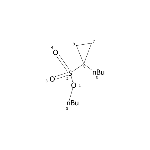 CCCCOS(=O)(=O)C1(CCCC)CC1